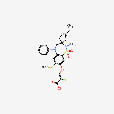 CCCCC1(CC)CN(c2ccccc2)c2cc(SC)c(OC=C(F)C(=O)O)cc2S(=O)(=O)N1C